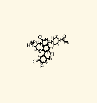 C=CC(=O)N1CCN(c2nc(=O)n3c4c(c(-c5cc(Cl)c(F)cc5F)c(Cl)cc24)SCC(NCCC)C3)CC1